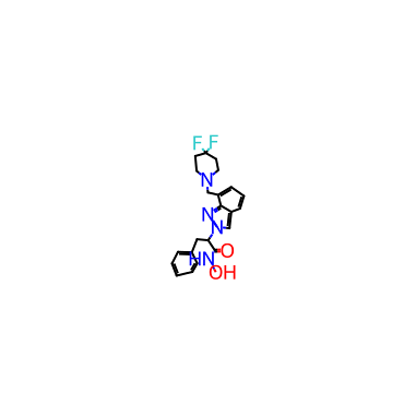 O=C(NO)C(Cc1ccccc1)n1cc2cccc(CN3CCC(F)(F)CC3)c2n1